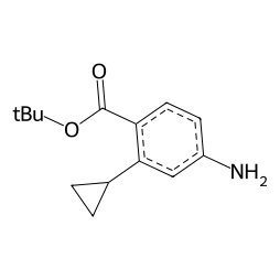 CC(C)(C)OC(=O)c1ccc(N)cc1C1CC1